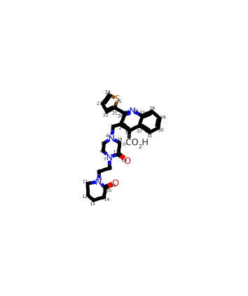 O=C(O)c1c(CN2CCN(CCN3CCCCC3=O)C(=O)C2)c(-c2cccs2)nc2ccccc12